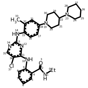 CCNC(=O)c1ccccc1Nc1nc(Nc2ccc(N3CCC(N4CCCCC4)CC3)cc2C)ncc1Cl